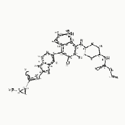 CC(C)(C)OC(=O)NC1CCC(Nc2c(F)c(Cl)c(-c3ccn4nc(NC(=O)[C@@H]5C[C@@H]5F)cc4c3)c3cn[nH]c23)CC1